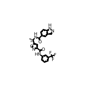 C[C@@H](NC(=O)c1ccc2[nH]ncc2c1)c1cc(C(=O)Nc2cccc(C(F)(F)F)c2)no1